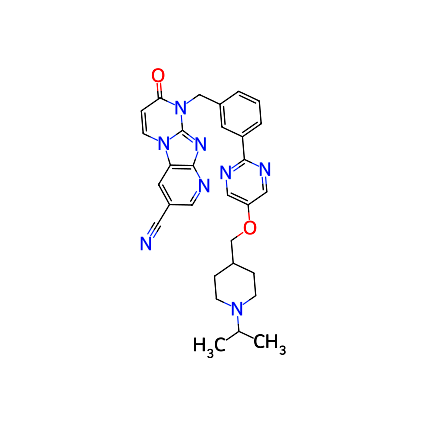 CC(C)N1CCC(COc2cnc(-c3cccc(Cn4c(=O)ccn5c6cc(C#N)cnc6nc45)c3)nc2)CC1